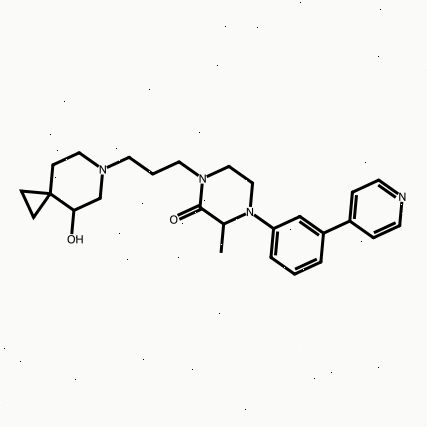 CC1C(=O)N(CCCN2CCC3(CC3)C(O)C2)CCN1c1cccc(-c2ccncc2)c1